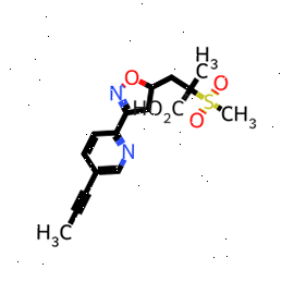 CC#Cc1ccc(C2=NOC(CC(C)(C(=O)O)S(C)(=O)=O)C2)nc1